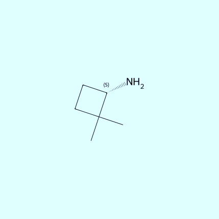 CC1(C)CC[C@@H]1N